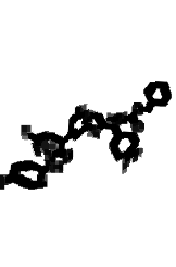 O=C(N[C@H](c1cn2ncc(C(CC(F)F)C(=O)NNc3ccc(F)cn3)cc2n1)C1CCC(F)(F)CC1)OCc1ccccc1